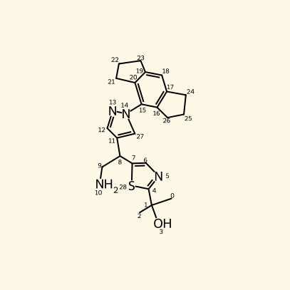 CC(C)(O)c1ncc(C(CN)c2cnn(-c3c4c(cc5c3CCC5)CCC4)c2)s1